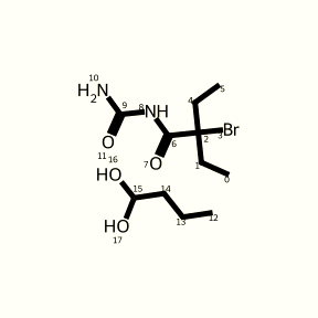 CCC(Br)(CC)C(=O)NC(N)=O.CCCC(O)O